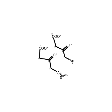 CC(=O)CC(=O)CC(=O)[O-].CC(=O)CC(=O)CC(=O)[O-].[Sn+2]